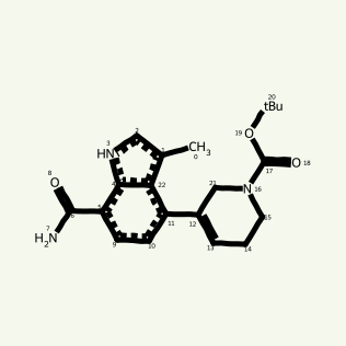 Cc1c[nH]c2c(C(N)=O)ccc(C3=CCCN(C(=O)OC(C)(C)C)C3)c12